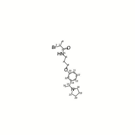 CC(Br)C(=O)NCCCOc1cccc(C(C)N2CCCC2)c1